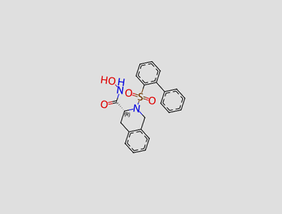 O=C(NO)[C@H]1Cc2ccccc2CN1S(=O)(=O)c1ccccc1-c1ccccc1